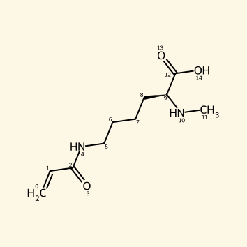 C=CC(=O)NCCCC[C@H](NC)C(=O)O